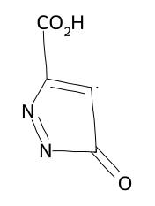 O=C1[C]=C(C(=O)O)N=N1